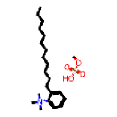 CCCCCCCCCCCCc1ccccc1[N+](C)(C)C.COS(=O)(=O)O